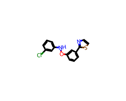 Clc1cccc(NOc2cccc(-c3nccs3)c2)c1